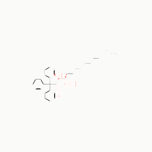 CCCCCCCCCCCCCCCCCCC(O)C(O)C(O)C(c1ccccc1)(c1ccccc1)c1ccccc1